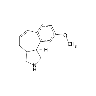 COc1ccc2c(c1)[C@H]1CNCC1CC=C2